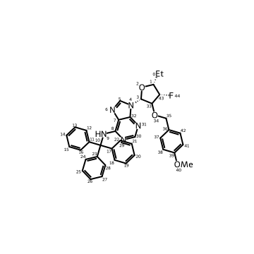 CC[C@H]1O[C@@H](n2cnc3c(NC(c4ccccc4)(c4ccccc4)c4ccccc4)ncnc32)C(OCc2ccc(OC)cc2)[C@H]1F